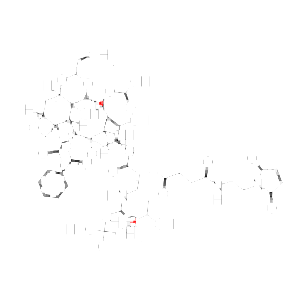 C=CC1O[C@H]2C[C@H]3OC[C@@]3(OC(C)=O)[C@H]3[C@H](OC(=O)c4ccccc4)[C@]4(O)C[C@H](OC(=O)[C@H](OC(=O)CCC(=O)NCCN5C(=O)C=CC5=O)[C@H](CC(C)C)NC(=O)OC(C)(C)C)C(C)=C([C@H](OC(C)=O)[C@H](O1)[C@]23C)C4(C)C